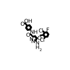 Nc1nnc(C(=O)Nc2ccc(C(=O)O)cc2)cc1OCc1c(Cl)ccc(F)c1Cl